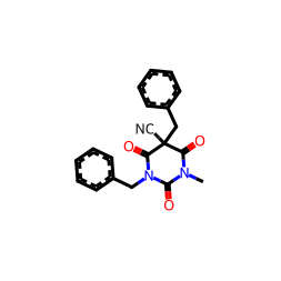 CN1C(=O)N(Cc2ccccc2)C(=O)C(C#N)(Cc2ccccc2)C1=O